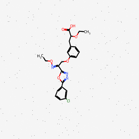 CCO/N=C(\COc1cccc(CC(OCC)C(=O)O)c1)c1nnc(-c2cccc(Cl)c2)o1